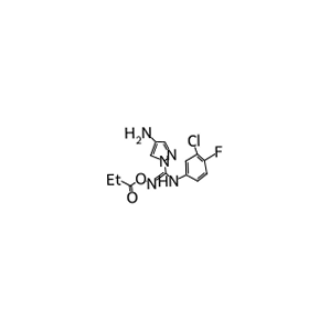 CCC(=O)ON=C(Nc1ccc(F)c(Cl)c1)n1cc(N)cn1